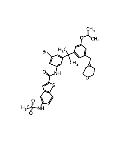 CC(C)Oc1cc(CN2CCOCC2)cc(C(C)(C)c2cc(Br)cc(NC(=O)c3cc4cc(NS(C)(=O)=O)ccc4s3)c2)c1